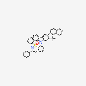 CC1(C)c2cc3c(cc2-c2ccc4ccccc4c21)c1ccccc1n3-c1cccc2c1S(=O)(c1ccccc1)=NC(c1ccccc1)=C2